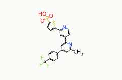 Cc1cc(-c2ccc(C(F)(F)F)cc2)cc(-c2ccnc(-c3ccc(S(=O)(=O)O)s3)c2)n1